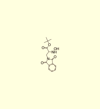 CC(C)(C)OC(=O)C(CN1C(=O)c2ccccc2C1=O)NO